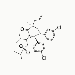 C=CC[C@@]1(C)C[C@H](c2cccc(Cl)c2)[C@@H](c2ccc(Cl)cc2)N(C(CS(=O)(=O)C(C)C)C(C)C)C1=O